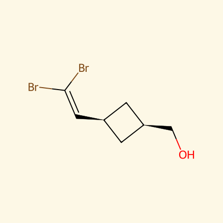 OC[C@H]1C[C@@H](C=C(Br)Br)C1